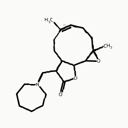 C/C1=C/CCC2(C)OC2C2OC(=O)C(CN3CCCCCC3)C2CC1